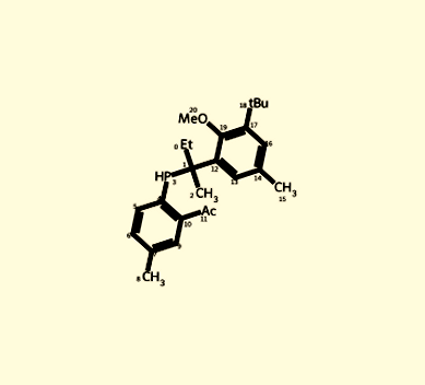 CCC(C)(Pc1ccc(C)cc1C(C)=O)c1cc(C)cc(C(C)(C)C)c1OC